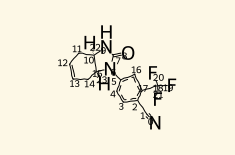 N#Cc1ccc(N2C(=O)N[C@@H]3CC=CC[C@H]32)cc1C(F)(F)F